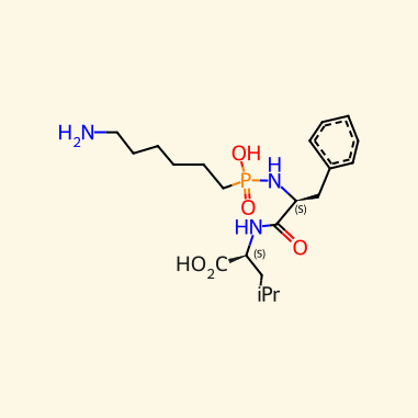 CC(C)C[C@H](NC(=O)[C@H](Cc1ccccc1)NP(=O)(O)CCCCCCN)C(=O)O